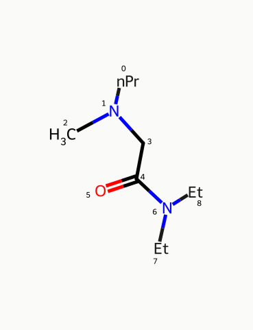 CCCN(C)CC(=O)N(CC)CC